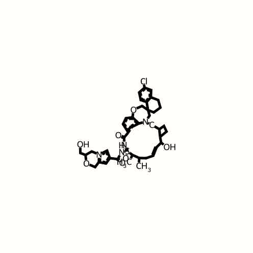 CC1C/C=C/C(O)C2CCC2CN2CC3(CCCc4cc(Cl)ccc43)COc3ccc(cc32)C(=O)N=S(=O)(NC(=O)c2cc3n(c2)CC(CO)OC3)C1C